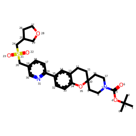 CC(C)(C)OC(=O)N1CCC2(CCc3cc(-c4ccc(CS(=O)(=O)CC5CCOC5)cn4)ccc3O2)CC1